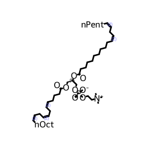 CCCCC/C=C\C/C=C\CCCCCCCCCC(=O)O[C@H](COC(=O)CCC/C=C\C/C=C\C/C=C\CCCCCCCC)COP(=O)([O-])OCC[N+](C)(C)C